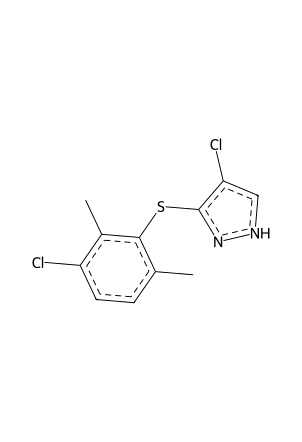 Cc1ccc(Cl)c(C)c1Sc1n[nH]cc1Cl